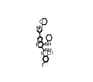 N/C(=N\c1cc(F)ccc1Cl)c1cnn2cc(-c3cnn(C4CCCCO4)c3)cc2c1NC1CCCCC1